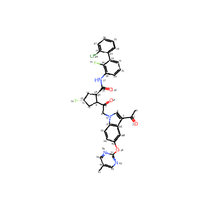 CC(=O)c1cn(CC(=O)C2C[C@H](F)C[C@H]2C(=O)Nc2cccc(-c3ccccc3Cl)c2F)c2ccc(Oc3ncc(C)cn3)cc12